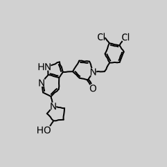 O=c1cc(-c2c[nH]c3ncc(N4CCC(O)C4)cc23)ccn1Cc1ccc(Cl)c(Cl)c1